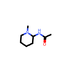 CC(=O)NC1CCCCN1C